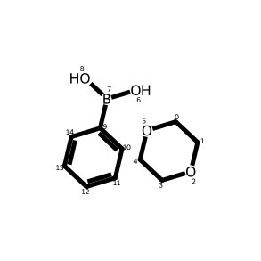 C1COCCO1.OB(O)c1ccccc1